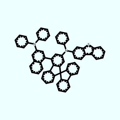 c1ccc(N(c2ccccc2)c2cc(-c3cc(N(c4ccccc4)c4ccc5c(c4)sc4ccccc45)cc4c3-c3ccccc3C43c4ccccc4-c4ccccc43)c3ccccc3c2)cc1